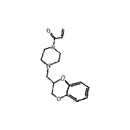 C=CC(=O)N1CCN(CC2COc3ccccc3O2)CC1